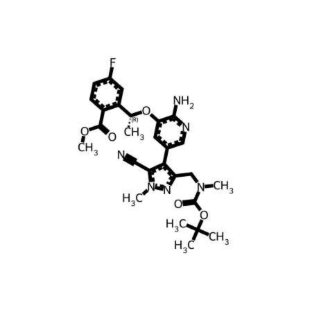 COC(=O)c1ccc(F)cc1[C@@H](C)Oc1cc(-c2c(CN(C)C(=O)OC(C)(C)C)nn(C)c2C#N)cnc1N